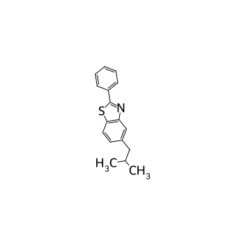 CC(C)Cc1ccc2sc(-c3ccccc3)nc2c1